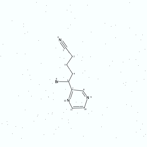 N#CCCCC(Br)c1cnccn1